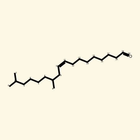 CC(C)CCCCC(C)C/C=C\CCCCCCC[C]=O